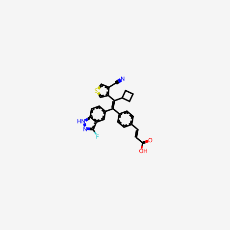 N#Cc1cscc1C(=C(c1ccc(C=CC(=O)O)cc1)c1ccc2[nH]nc(F)c2c1)C1CCC1